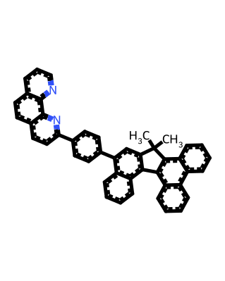 CC1(C)c2cc(-c3ccc(-c4ccc5ccc6cccnc6c5n4)cc3)c3ccccc3c2-c2c1c1ccccc1c1ccccc21